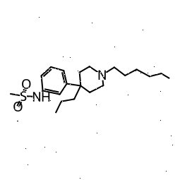 CCCCCCN1CCC(CCC)(c2cccc(NS(C)(=O)=O)c2)CC1